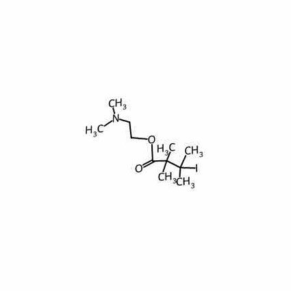 CN(C)CCOC(=O)C(C)(C)C(C)(C)I